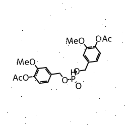 COc1cc(CO[PH](=O)OCc2ccc(OC(C)=O)c(OC)c2)ccc1OC(C)=O